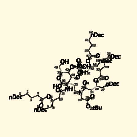 CCCCCCCCCCCCCC(=O)O[C@H](CCCCCCCCCCC)CC(=O)N[C@@]1(CCN(CC(=O)OC(C)(C)C)C(=O)C[C@@H](CCCCCCCCCCC)OC(=O)CCCCCCCCCCCCC)[C@H](O)O[C@H](CO)[C@@H](OP(=O)(O)O)[C@@H]1OC(=O)C[C@@H](CCCCCCCCCCC)OC(=O)CCCCCCCCCCCCC